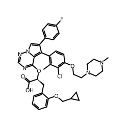 Cc1c(-c2c(-c3ccc(F)cc3)cn3ncnc(O[C@@H](Cc4ccccc4OCC4CC4)C(=O)O)c23)ccc(OCCN2CCN(C)CC2)c1Cl